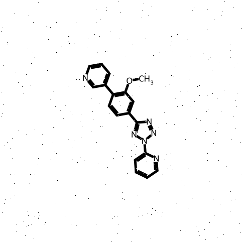 COc1cc(-c2nnn(-c3ccccn3)n2)ccc1-c1cccnc1